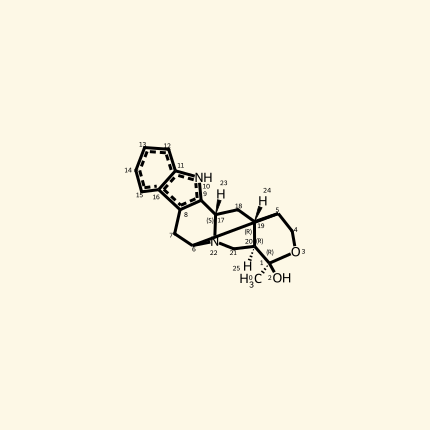 C[C@@]1(O)OCC2C3Cc4c([nH]c5ccccc45)[C@@H]4C[C@H]2[C@@H]1CN34